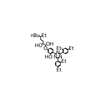 CCCCC(CC)CCC(O)C(O)Oc1ccc(-c2nc(-c3ccc(CC)cc3CC)nc(-c3ccc(CC)cc3CC)n2)c(O)c1